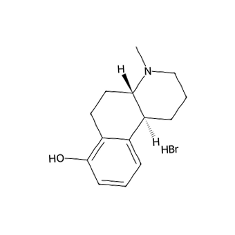 Br.CN1CCC[C@H]2c3cccc(O)c3CC[C@@H]21